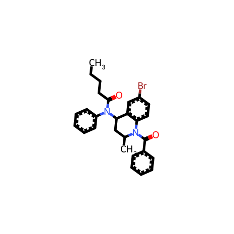 CCCCC(=O)N(c1ccccc1)C1CC(C)N(C(=O)c2ccccc2)c2ccc(Br)cc21